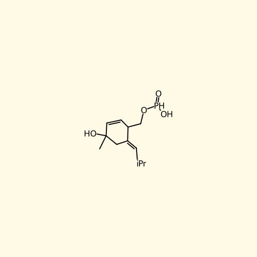 CC(C)C=C1CC(C)(O)C=CC1CO[PH](=O)O